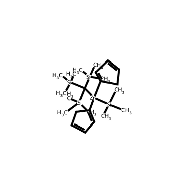 C[Si](C)(C)[C]([Si](C)(C)C)([Si](C)(C)C)[Zr]([C]1=CC=CC1)([C]1=CC=CC1)[Si](C)(C)C